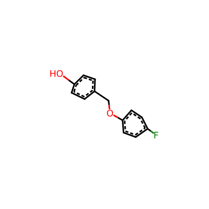 Oc1ccc(COc2ccc(F)cc2)cc1